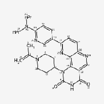 C=C(C)N1CCC(n2c(=O)[nH]c(=O)c3cnc4ccc(-c5ccc(N(CCC)CCC)nc5)nc4c32)CC1